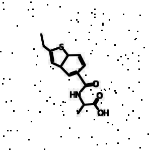 CCC1=CC2C=C(C(=O)NC(C)C(=O)O)C=CC2S1